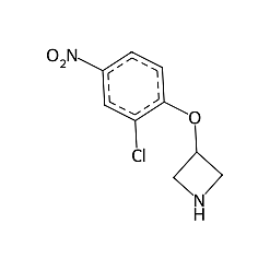 O=[N+]([O-])c1ccc(OC2CNC2)c(Cl)c1